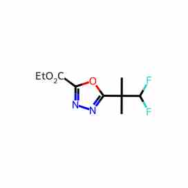 CCOC(=O)c1nnc(C(C)(C)C(F)F)o1